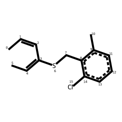 C/C=C\C(=C/C)SCc1c(C)cccc1Cl